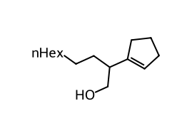 CCCCCCCCC(CO)C1=CCCC1